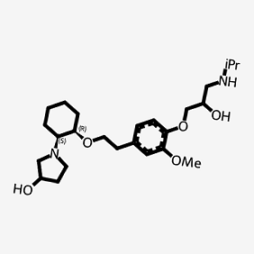 COc1cc(CCO[C@@H]2CCCC[C@@H]2N2CCC(O)C2)ccc1OCC(O)CNC(C)C